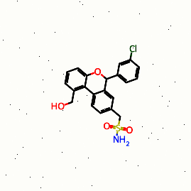 NS(=O)(=O)Cc1ccc2c(c1)C(c1cccc(Cl)c1)Oc1cccc(CO)c1-2